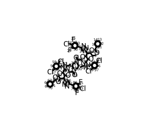 Cc1nc(C2OC3COC(c4ccccc4)OC3C(n3cc(-c4cc(F)c(Cl)c(F)c4)nn3)C2OCC(=O)N2CCN(C(=O)COC3C(c4nc(C)nn4-c4cc(Cl)ccc4Cl)OC4OC(c5ccccc5)OC4C3n3cc(-c4cc(F)c(Cl)c(F)c4)nn3)CC2)n(-c2cc(Cl)ccc2Cl)n1